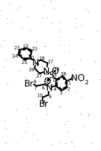 O=[N+]([O-])c1ccc(N(CCBr)CCBr)c(S(=O)(=O)N2CCN(c3ccccc3)CC2)c1